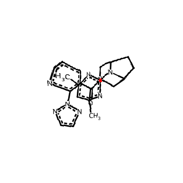 Cc1cc(C)nc(N2C3CCC2CN(C(=O)c2cccnc2-n2nccn2)C3)n1